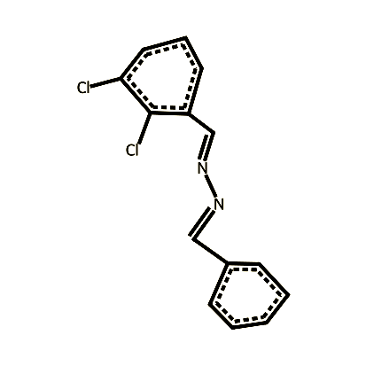 Clc1cccc(C=NN=Cc2ccccc2)c1Cl